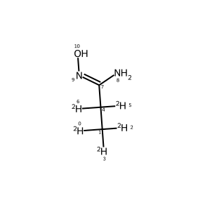 [2H]C([2H])([2H])C([2H])([2H])/C(N)=N/O